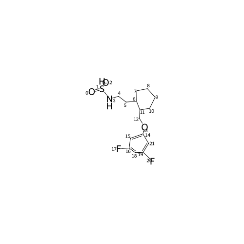 O=[SH](=O)NCCC1CCCCC1COc1cc(F)cc(F)c1